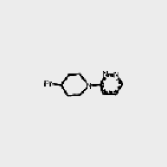 CC(C)C1CCN(c2cccnn2)CC1